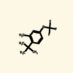 [CH2]c1cc(OC(F)(F)F)ccc1C(C)(C)C